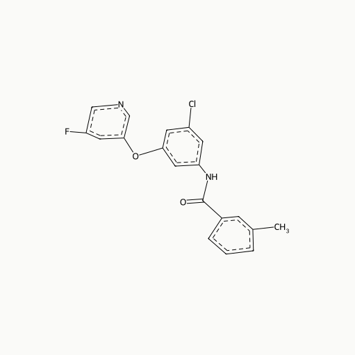 Cc1cccc(C(=O)Nc2cc(Cl)cc(Oc3cncc(F)c3)c2)c1